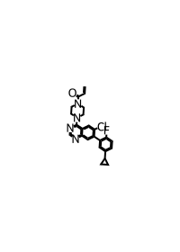 C=CC(=O)N1CCN(c2ncnc3cc(-c4cc(C5CC5)ccc4F)c(Cl)cc23)CC1